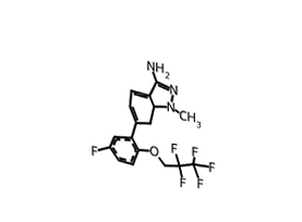 CN1N=C(N)C2=CC=C(c3cc(F)ccc3OCC(F)(F)C(F)(F)F)CC21